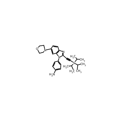 CC(C)[Si](C#Cc1nc2ccc(N3CCOCC3)cc2n1-c1ccc(N)cc1)(C(C)C)C(C)C